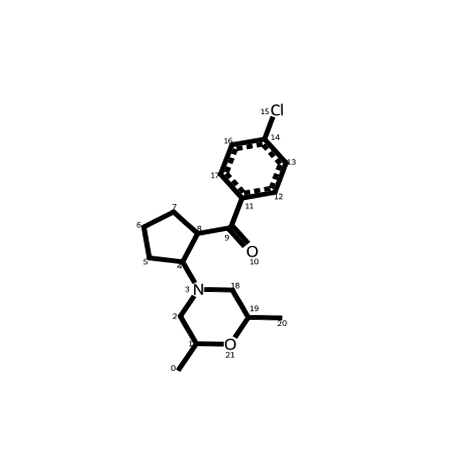 CC1CN(C2CCCC2C(=O)c2ccc(Cl)cc2)CC(C)O1